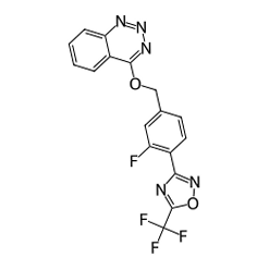 Fc1cc(COc2nnnc3ccccc23)ccc1-c1noc(C(F)(F)F)n1